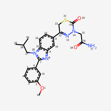 COc1cccc(-c2nc3cc(C4=NN(CC(N)=O)C(=O)SC4)ccc3n2CC(C)C)c1